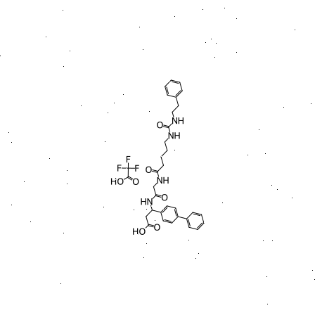 O=C(O)C(F)(F)F.O=C(O)CC(NC(=O)CNC(=O)CCCCNC(=O)NCCc1ccccc1)c1ccc(-c2ccccc2)cc1